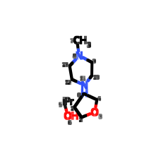 C1CCOC1.CC(C)O.CN1CCNCC1